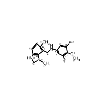 COc1c(F)cc(NCc2c(C)ccc3c2N(C)CN3)cc1F